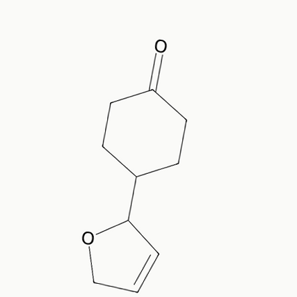 O=C1CCC(C2C=CCO2)CC1